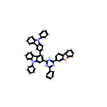 c1ccc(-c2nc(-c3ccc4c(c3)sc3ccccc34)nc(-c3cc(-c4ccc5c(c4)c4ccccc4n5-c4ccccc4)c4c5ccccc5n(-c5ccccc5)c4c3)n2)cc1